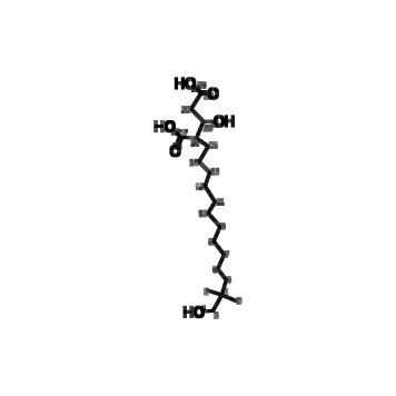 CC(C)(CO)CCCCCCCCCCCC(C(=O)O)C(O)CC(=O)O